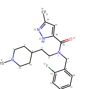 CSN1CCC(CCN(Cc2ccccc2F)C(=O)c2cc(C(F)(F)F)n[nH]2)CC1